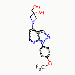 OCC1(O)CN(c2ccnc3c2cnn3-c2ccc(OC(F)(F)F)cc2)C1